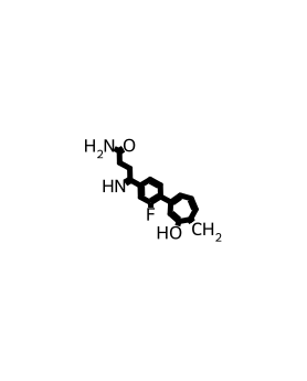 C=C1C=CC=C(c2ccc(C(=N)CCC(N)=O)cc2F)C=C1O